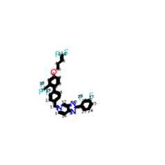 FC(F)=CCCOc1ccc(-c2ccc(Cn3ccc4nc(-c5cccc(F)c5F)nc-4c3)cc2)c(C(F)(F)F)c1